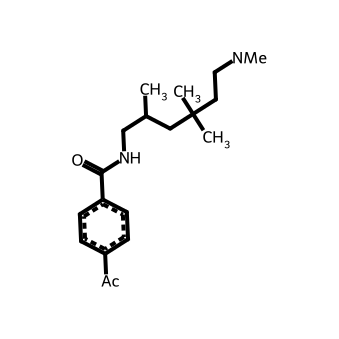 CNCCC(C)(C)CC(C)CNC(=O)c1ccc(C(C)=O)cc1